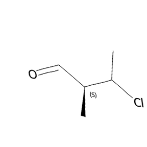 CC(Cl)[C@@H](C)C=O